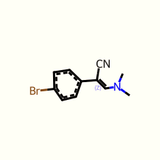 CN(C)/C=C(\C#N)c1ccc(Br)cc1